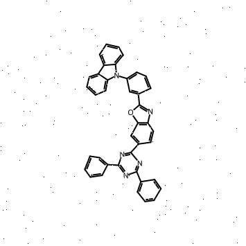 c1ccc(-c2nc(-c3ccccc3)nc(-c3ccc4nc(-c5cccc(-n6c7ccccc7c7ccccc76)c5)oc4c3)n2)cc1